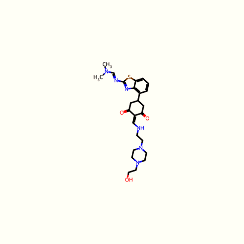 CN(C)/C=N/c1nc2c(C3CC(=O)C(=CNCCN4CCN(CCO)CC4)C(=O)C3)cccc2s1